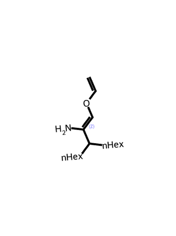 C=CO/C=C(\N)C(CCCCCC)CCCCCC